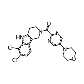 O=C(c1ncc(N2CCOCC2)cn1)N1CCc2[nH]c3c(Cl)c(Cl)ccc3c2C1